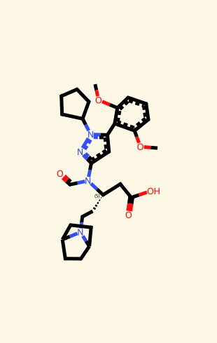 COc1cccc(OC)c1-c1cc(N(C=O)[C@@H](CCN2C3CCC2CC3)CC(=O)O)nn1C1CCCC1